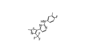 Cc1nc(C(F)(F)F)c(-c2ccnc(Nc3ccc(F)c(C)c3)n2)s1